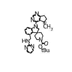 C[C@@H]1CCc2ncnc(N3CC4(CCN(C(=O)OC(C)(C)C)CC4)c4c(CNc5ncccn5)cccc43)c21